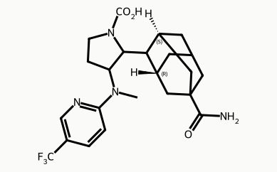 CN(c1ccc(C(F)(F)F)cn1)C1CCN(C(=O)O)C1C1[C@@H]2CC3C[C@H]1CC(C(N)=O)(C3)C2